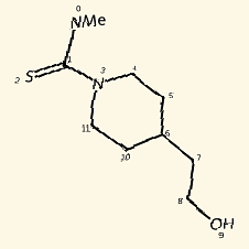 CNC(=S)N1CCC(CCO)CC1